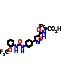 CC(C)[C@H](NC(=O)c1cc(-c2ccc(NC(=O)Nc3ccccc3OC(F)(F)F)cc2)no1)C(=O)O